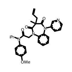 C=CCC1(C)C(=O)N(CC(=O)N(c2ccc(OC)cc2)C(C)C)c2ccccc2N(c2cccnc2)C1=O